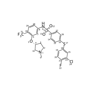 CN1CC[C@@H](Oc2cc(NS(=O)(=O)c3ccc(Sc4ccc(F)c(Cl)c4)cc3)ccc2C(F)(F)F)C1